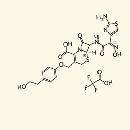 Nc1nc(/C(=N/O)C(=O)NC2C(=O)N3C(C(=O)O)=C(COc4ccc(CCO)cc4)CS[C@H]23)cs1.O=C(O)C(F)(F)F